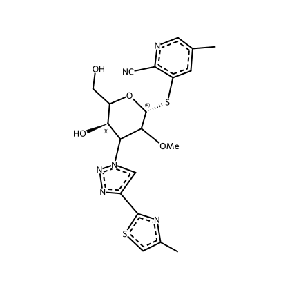 COC1C(n2cc(-c3nc(C)cs3)nn2)[C@@H](O)C(CO)O[C@@H]1Sc1cc(C)cnc1C#N